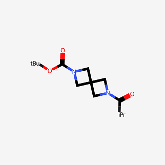 CC(C)C(=O)N1CC2(CN(C(=O)OC(C)(C)C)C2)C1